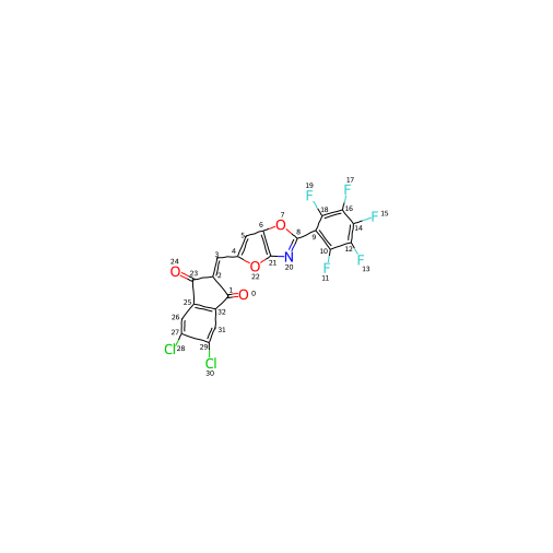 O=C1C(=Cc2cc3oc(-c4c(F)c(F)c(F)c(F)c4F)nc3o2)C(=O)c2cc(Cl)c(Cl)cc21